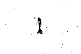 CCNc1nc(CCCCCCNC(=O)NCc2ccc(N)nc2)ccc1C(=O)NC